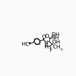 C#Cc1ccc(C(=O)NC(C(=O)NO)C(C)(O)C(F)F)cc1